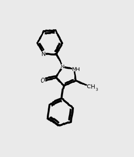 Cc1[nH]n(-c2ccccn2)c(=O)c1-c1ccccc1